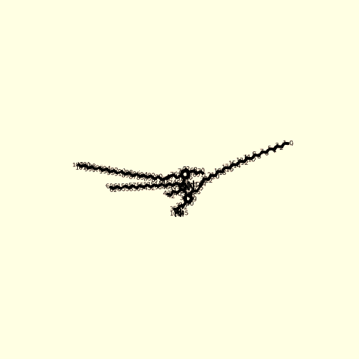 CCCCCCCCCCCCCCCCCCCCCCCCC#CCCc1ccc(CCCC)cc1C1=C(CCCC)C(CCCCCCCCCCCCCCCCCCC)=C(c2cc(CCCC)ccc2CCC#CCCCCCCCCCCCCCCCCCCCCCCCC)[N+]1=[N-].[CH3][Ni][CH3]